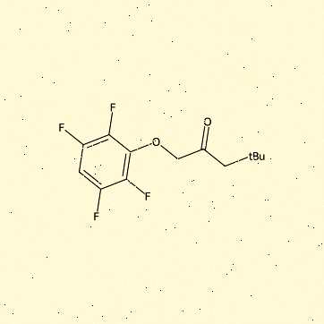 CC(C)(C)CC(=O)COc1c(F)c(F)cc(F)c1F